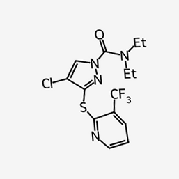 CCN(CC)C(=O)n1cc(Cl)c(Sc2ncccc2C(F)(F)F)n1